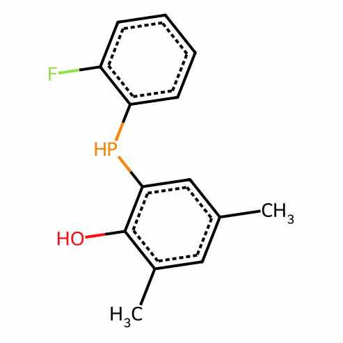 Cc1cc(C)c(O)c(Pc2ccccc2F)c1